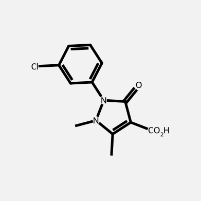 Cc1c(C(=O)O)c(=O)n(-c2cccc(Cl)c2)n1C